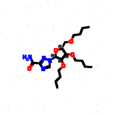 CCCCOC[C@H]1O[C@@H](n2cnc(C(N)=O)n2)[C@H](OCCCC)[C@@H]1OCCCC